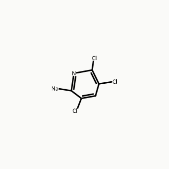 [Na][c]1nc(Cl)c(Cl)cc1Cl